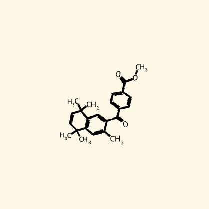 COC(=O)c1ccc(C(=O)c2cc3c(cc2C)C(C)(C)C=CC3(C)C)cc1